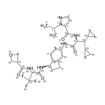 CC(C)n1nccc1C(=O)N[C@H](C(=O)Nc1ccc2c(c1)CC[C@H]2NC(=O)C(NC(=O)C1COC1)C(F)(F)F)C(C1CC1)C1CC1